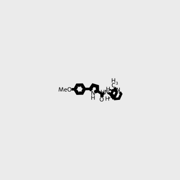 COc1ccc(-c2ccc(C(=O)N[C@@H]3C4CCN(CC4)[C@H]3C)[nH]2)cc1